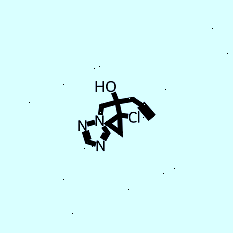 C#CCC(O)(Cn1cncn1)C1(Cl)CC1